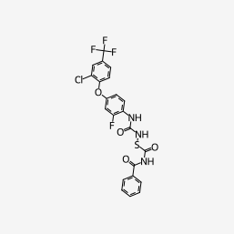 O=C(NSC(=O)NC(=O)c1ccccc1)Nc1ccc(Oc2ccc(C(F)(F)F)cc2Cl)cc1F